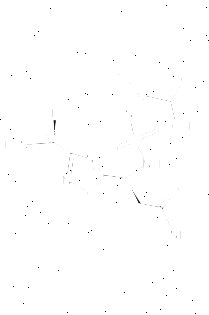 CC[C@H](N)c1noc([C@H](CC(N)=O)NS(=O)(=O)N[C@H](C(=O)O)C(C)O)n1